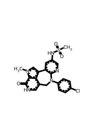 Cn1cc2c3c(c[nH]c(=O)c31)CN(c1ccc(Cl)cc1)c1ncc(NS(C)(=O)=O)cc1-2